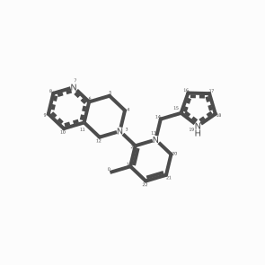 CC1=C(N2CCc3ncccc3C2)N(Cc2ccc[nH]2)CC=C1